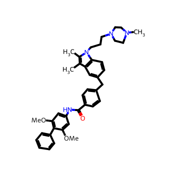 COc1cc(NC(=O)c2ccc(Cc3ccc4c(c3)c(C)c(C)n4CCCN3CCN(C)CC3)cc2)cc(OC)c1-c1ccccc1